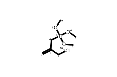 C=C(CCl)[CH2][Ti]([O]C)([O]C)[O]C